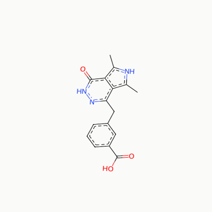 Cc1[nH]c(C)c2c(=O)[nH]nc(Cc3cccc(C(=O)O)c3)c12